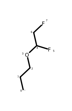 [CH2]CCOC(F)CF